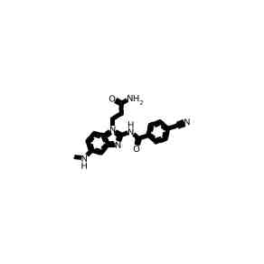 CNc1ccc2c(c1)nc(NC(=O)c1ccc(C#N)cc1)n2CCC(N)=O